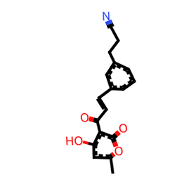 Cc1cc(O)c(C(=O)/C=C/c2cccc(CCC#N)c2)c(=O)o1